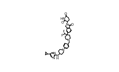 O=C1CCC(N2Cc3cc(C4(C(F)F)CCN(Cc5ccc(N6CCC(Nc7ncc(C8CC8)cn7)CC6)cc5)CC4)ccc3C2=O)C(=O)N1